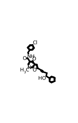 Cn1cc(C(=O)NCc2ccc(Cl)cc2)c(=O)c2cc(C#CCC(O)c3ccccc3)oc21